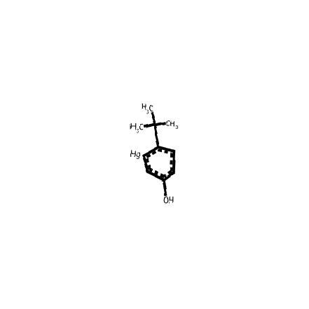 CC(C)(C)c1ccc(O)cc1.[Hg]